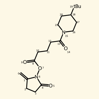 C=C1CCC(=O)N1OC(=O)CCCC(=O)N1CCC(C(C)(C)C)CC1